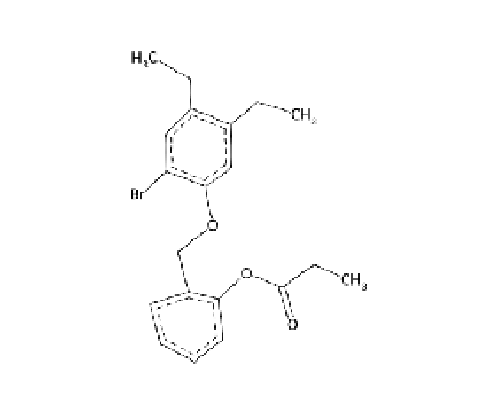 CCC(=O)Oc1ccccc1COc1cc(CC)c(CC)cc1Br